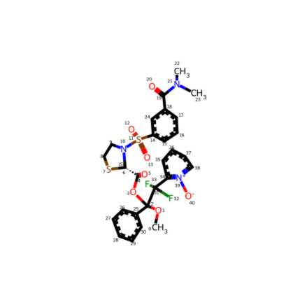 COC(OC(=O)[C@@H]1SCCN1S(=O)(=O)c1cccc(C(=O)N(C)C)c1)(c1ccccc1)C(F)(F)c1cccc[n+]1[O-]